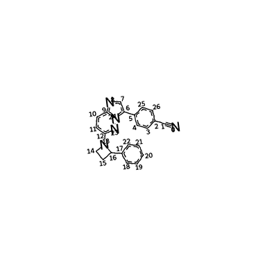 N#Cc1ccc(-c2cnc3ccc(N4CCC4c4ccccc4)nn23)cc1